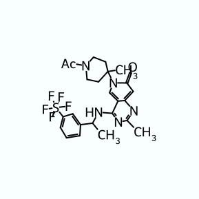 CC(=O)N1CCC(C)(n2cc3c(NC(C)c4cccc(S(F)(F)(F)(F)F)c4)nc(C)nc3cc2=O)CC1